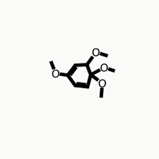 COC1=CC(OC)C(OC)(OC)C=C1